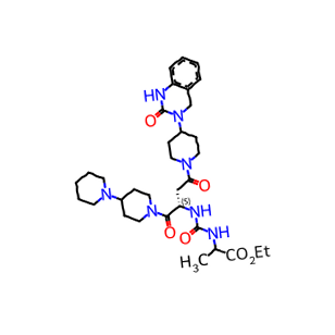 CCOC(=O)C(C)NC(=O)N[C@@H](CC(=O)N1CCC(N2Cc3ccccc3NC2=O)CC1)C(=O)N1CCC(N2CCCCC2)CC1